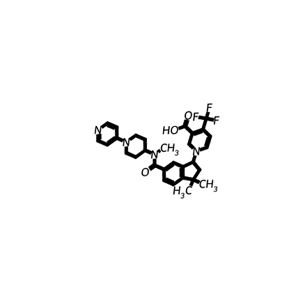 CN(C(=O)c1ccc2c(c1)C(N1C=CC(C(F)(F)F)=C(C(=O)O)C1)CC2(C)C)C1CCN(c2ccncc2)CC1